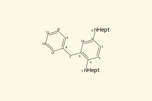 CCCCCCCc1ccc(CCCCCCC)c(Cc2ccccc2)c1